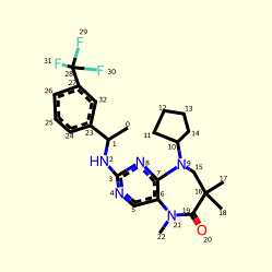 CC(Nc1ncc2c(n1)N(C1CCCC1)CC(C)(C)C(=O)N2C)c1cccc(C(F)(F)F)c1